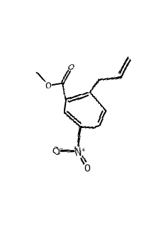 C=CCc1ccc([N+](=O)[O-])cc1C(=O)OC